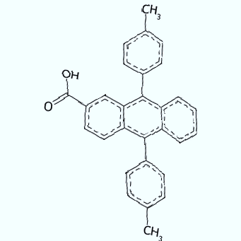 Cc1ccc(-c2c3ccccc3c(-c3ccc(C)cc3)c3cc(C(=O)O)ccc23)cc1